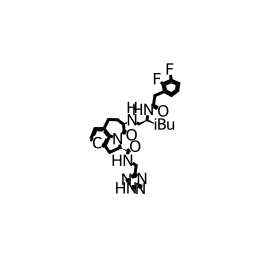 CC[C@H](C)[C@@H](CN[C@H]1CCc2cccc3c2N(C1=O)[C@H](C(=O)NCc1nn[nH]n1)C3)NC(=O)Cc1cccc(F)c1F